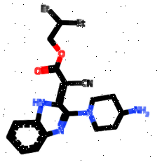 CCC(CC)COC(=O)/C(C#N)=C1\Nc2ccccc2N=C1N1CCC(N)CC1